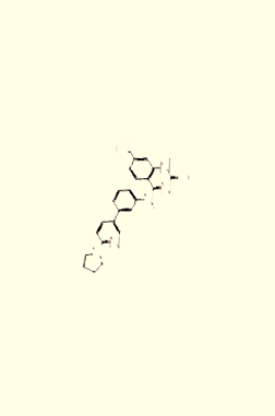 CN(c1cccc(-c2ccc(N3CCCC3)nc2)c1)c1nc(=O)n(C)c2cc(Cl)ccc12